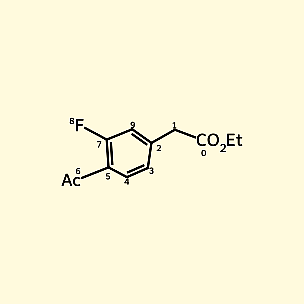 CCOC(=O)Cc1ccc(C(C)=O)c(F)c1